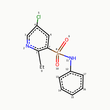 CCc1ncc(Cl)cc1S(=O)(=O)Nc1ccccc1